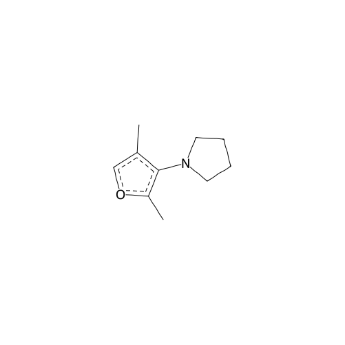 Cc1coc(C)c1N1CCCC1